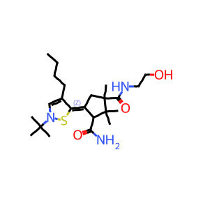 CCCCC1=CN(C(C)(C)C)S/C1=C1/CC(C)(C(=O)NCCO)C(C)(C)C1C(N)=O